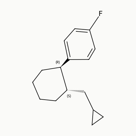 Fc1ccc([C@@H]2CCCC[C@H]2CC2CC2)cc1